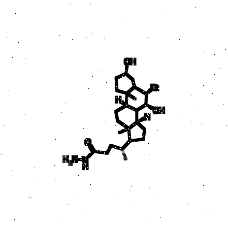 CC[C@@H]1C2C[C@H](O)CCC2(C)[C@H]2CCC3(C)C([C@H](C)CCC(=O)NN)CC[C@H]3C2[C@@H]1O